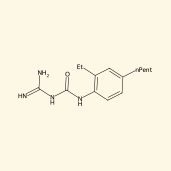 CCCCCc1ccc(NC(=O)NC(=N)N)c(CC)c1